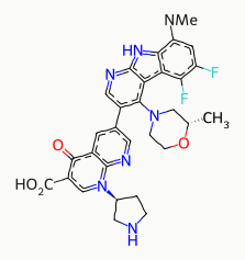 CNc1cc(F)c(F)c2c1[nH]c1ncc(-c3cnc4c(c3)c(=O)c(C(=O)O)cn4[C@H]3CCNC3)c(N3CCO[C@@H](C)C3)c12